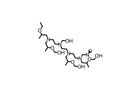 CCOC(C)CN(CCN(CO)CCN(CCN(CN=O)CC(C)OCO)CC(C)OCO)CC(C)OCO